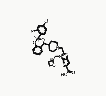 C[C@@]1(c2ccc(Cl)cc2F)Oc2ccccc2C(C2CCN(Cc3nc4cc(C(=O)O)sc4n3C[C@@H]3CCO3)CC2)O1